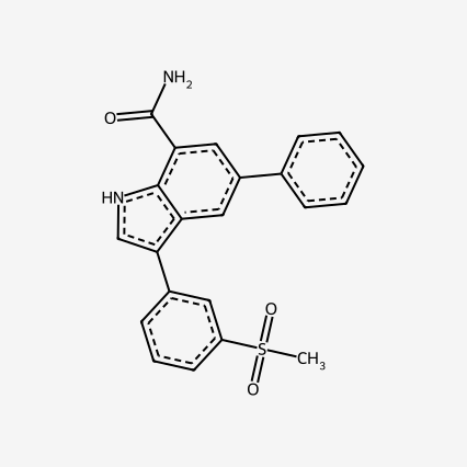 CS(=O)(=O)c1cccc(-c2c[nH]c3c(C(N)=O)cc(-c4ccccc4)cc23)c1